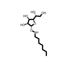 CCCCCCCNO[C@H]1O[C@H]([C@H](O)CO)[C@H](O)[C@@H]1O